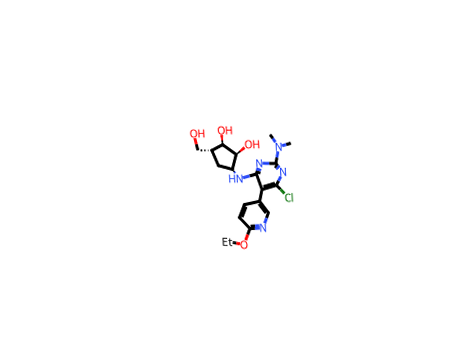 CCOc1ccc(-c2c(Cl)nc(N(C)C)nc2N[C@@H]2C[C@H](CO)[C@@H](O)[C@H]2O)cn1